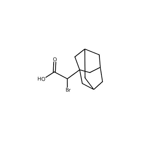 O=C(O)C(Br)C12CC3CC(CC(C3)C1)C2